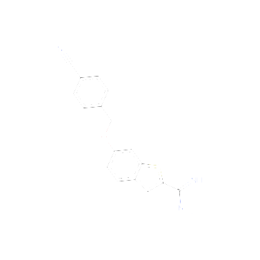 N#Cc1ccc(COc2ccc3cc(C(=N)N)sc3c2)cc1